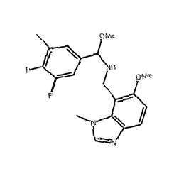 COc1ccc2ncn(C)c2c1CNC(OC)c1cc(C)c(F)c(F)c1